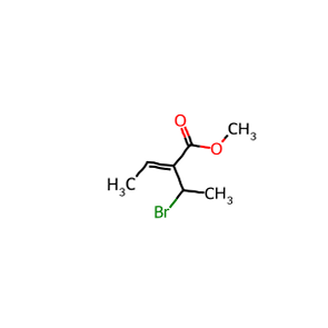 CC=C(C(=O)OC)C(C)Br